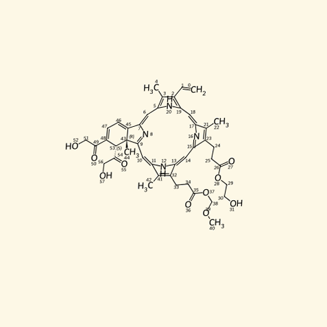 C=Cc1c(C)c2cc3nc(cc4[nH]c(cc5nc(cc1[nH]2)C(C)=C5CCC(=O)OCCO)c(CCC(=O)OCOC)c4C)[C@@]1(C)C3=CC=C(C(=O)CO)[C@H]1C(=O)CO